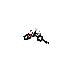 CC(C)S(=O)(=O)N1CC2CCC(C1)N2CCOc1ccc(C#N)cc1